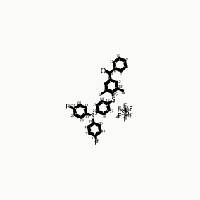 Cc1cc(C(=O)c2ccccc2)cc(C)c1Sc1ccc([S+](c2ccc(F)cc2)c2ccc(F)cc2)cc1.[F][Sb-]([F])([F])([F])([F])[F]